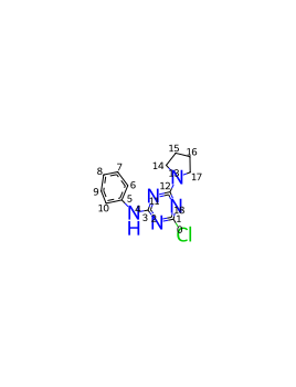 Clc1nc(Nc2ccccc2)nc(N2CCCC2)n1